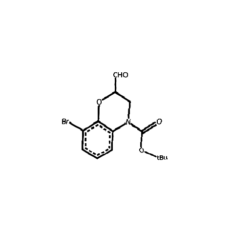 CC(C)(C)OC(=O)N1CC(C=O)Oc2c(Br)cccc21